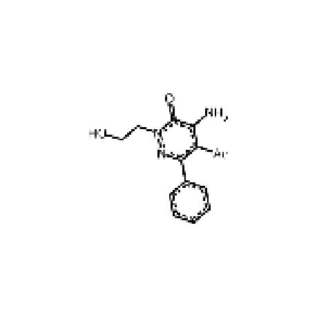 CC(=O)c1c(-c2ccccc2)nn(CCO)c(=O)c1N